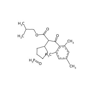 Cc1cc(C)c(C(=O)C(C(=O)OCC(C)C)C2CCCC2)c(C)c1.O=[PH3]